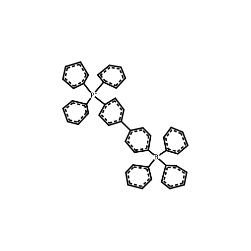 c1ccc([B-](c2ccccc2)(c2ccccc2)c2ccc(-c3ccc([P+](c4ccccc4)(c4ccccc4)c4ccccc4)cc3)cc2)cc1